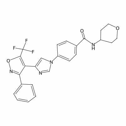 O=C(NC1CCOCC1)c1ccc(-n2cnc(-c3c(-c4ccccc4)noc3C(F)(F)F)c2)cc1